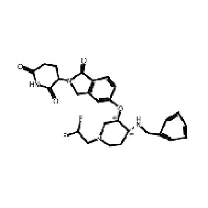 O=C1CCC(N2Cc3cc(O[C@@H]4CN(CC(F)F)CC[C@H]4NCc4ccccc4)ccc3C2=O)C(=O)N1